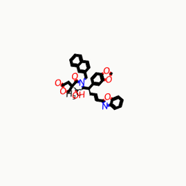 C[C@H]([C@H](C/C=C/c1nc2ccccc2o1)c1ccc2c(c1)OCO2)N(Cc1ccc2ccccc2c1)C(=O)[C@@]1(CO)COC(=O)C1